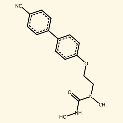 CN(CCOc1ccc(-c2ccc(C#N)cc2)cc1)C(=O)NO